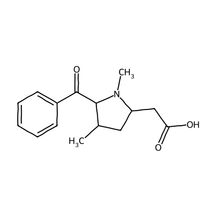 CC1CC(CC(=O)O)N(C)C1C(=O)c1ccccc1